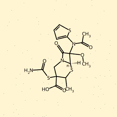 COC1(N(C(C)=O)c2cccs2)C(=O)N2CC(SC(N)=O)(C(=O)O)C(C)S[C@@H]21